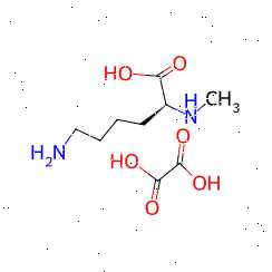 CN[C@@H](CCCCN)C(=O)O.O=C(O)C(=O)O